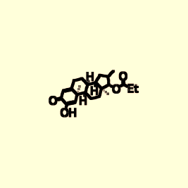 CCC(=O)O[C@@H]1C(C)C[C@H]2[C@@H]3CCC4=CC(=O)C(O)=C[C@]4(C)[C@H]3CC[C@]12C